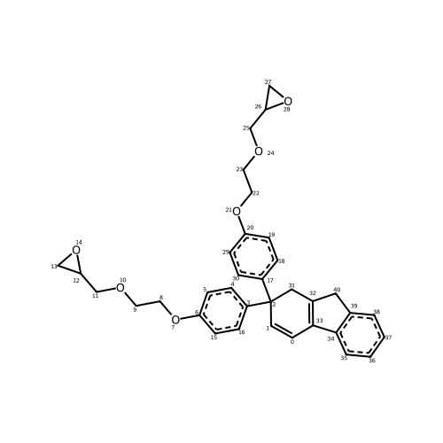 C1=CC(c2ccc(OCCOCC3CO3)cc2)(c2ccc(OCCOCC3CO3)cc2)CC2=C1c1ccccc1C2